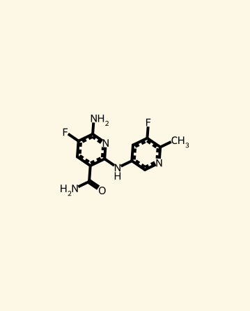 Cc1ncc(Nc2nc(N)c(F)cc2C(N)=O)cc1F